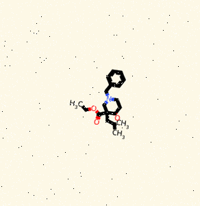 CCOC(=O)C1(CC(C)C)CN(Cc2ccccc2)CCC1=O